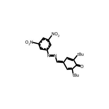 CC(C)(C)C1=CC(=CN=Nc2cc([N+](=O)[O-])cc([N+](=O)[O-])c2)C=C(C(C)(C)C)C1=O